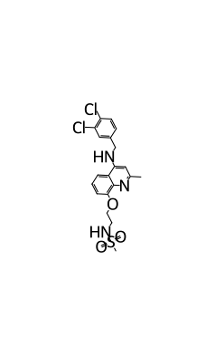 Cc1cc(NCc2ccc(Cl)c(Cl)c2)c2cccc(OCCNS(C)(=O)=O)c2n1